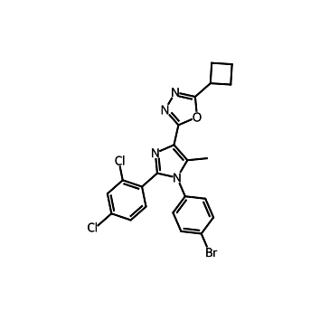 Cc1c(-c2nnc(C3CCC3)o2)nc(-c2ccc(Cl)cc2Cl)n1-c1ccc(Br)cc1